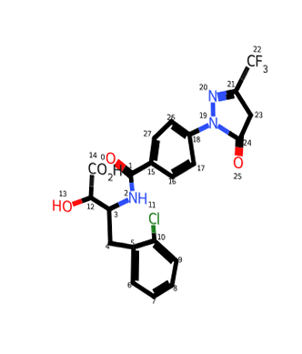 O=C(NC(Cc1ccccc1Cl)C(O)C(=O)O)c1ccc(N2N=C(C(F)(F)F)CC2=O)cc1